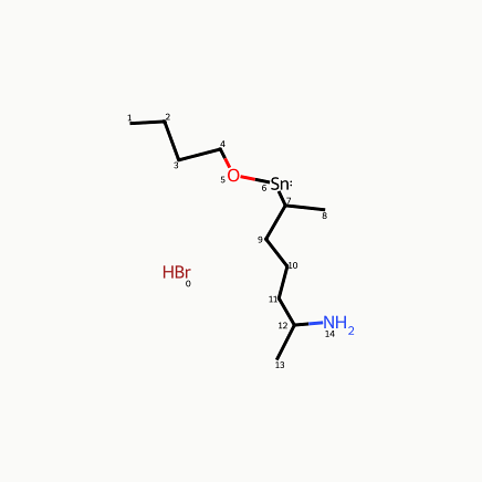 Br.CCCC[O][Sn][CH](C)CCCC(C)N